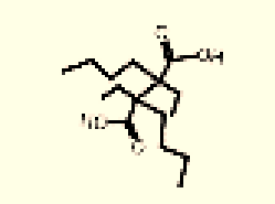 CCCCC(CC)(C(=O)O)C(CC)(CCCC)C(=O)O